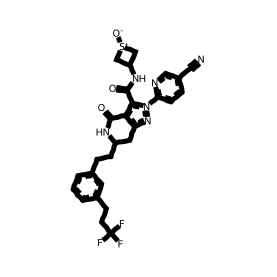 N#Cc1ccc(-n2nc3c(c2C(=O)NC2C[S+]([O-])C2)C(=O)NC(CCc2cccc(CCC(F)(F)F)c2)C3)nc1